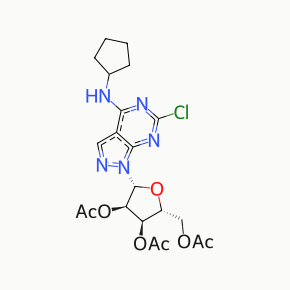 CC(=O)OC[C@H]1O[C@@H](n2ncc3c(NC4CCCC4)nc(Cl)nc32)[C@H](OC(C)=O)[C@@H]1OC(C)=O